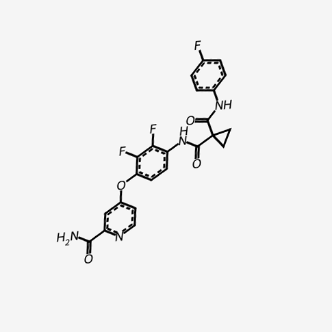 NC(=O)c1cc(Oc2ccc(NC(=O)C3(C(=O)Nc4ccc(F)cc4)CC3)c(F)c2F)ccn1